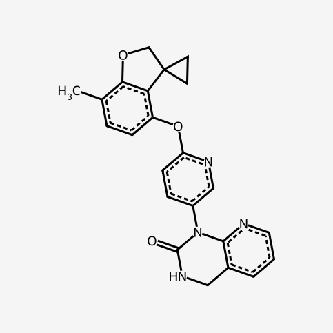 Cc1ccc(Oc2ccc(N3C(=O)NCc4cccnc43)cn2)c2c1OCC21CC1